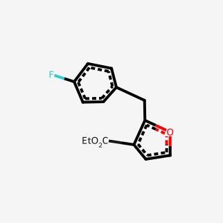 CCOC(=O)c1ccoc1Cc1ccc(F)cc1